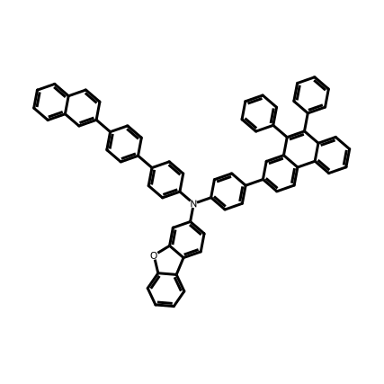 c1ccc(-c2c(-c3ccccc3)c3cc(-c4ccc(N(c5ccc(-c6ccc(-c7ccc8ccccc8c7)cc6)cc5)c5ccc6c(c5)oc5ccccc56)cc4)ccc3c3ccccc23)cc1